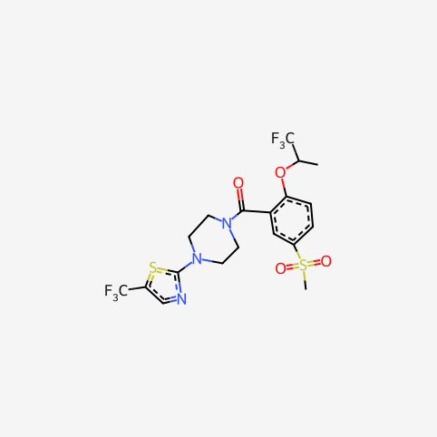 CC(Oc1ccc(S(C)(=O)=O)cc1C(=O)N1CCN(c2ncc(C(F)(F)F)s2)CC1)C(F)(F)F